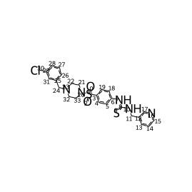 O=S(=O)(c1ccc(NC(=S)NCc2cccnc2)cc1)N1CCN(Cc2cccc(Cl)c2)CC1